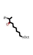 CCCCCCCCCCCCCCC(=O)C(C)C(C)C